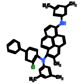 Cc1cc(C)cc(Nc2ccc3ccc4c(N(c5cc(C)cc(C)c5)c5ccc(-c6ccccc6)cc5Cl)c(C)cc5ccc2c3c54)c1